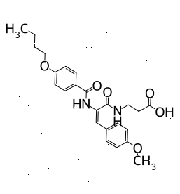 CCCCOc1ccc(C(=O)NC(=Cc2ccc(OC)cc2)C(=O)NCCC(=O)O)cc1